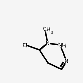 CN1NN=CCC1Cl